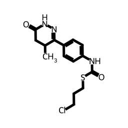 CC1CC(=O)NN=C1c1ccc(NC(=O)SCCCCl)cc1